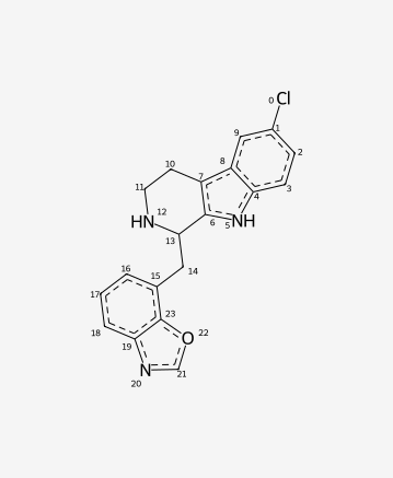 Clc1ccc2[nH]c3c(c2c1)CCNC3Cc1cccc2ncoc12